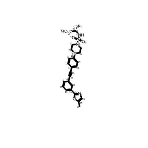 CCC[C@H](NS(=O)(=O)N1CCN(c2ccc(C#Cc3cccc(-c4ncc(C)o4)c3)cc2)CC1)C(=O)O